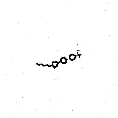 CCCCCCc1ccc(-c2ccc([C@H]3CC[C@H](C(F)F)CC3)cc2)cc1